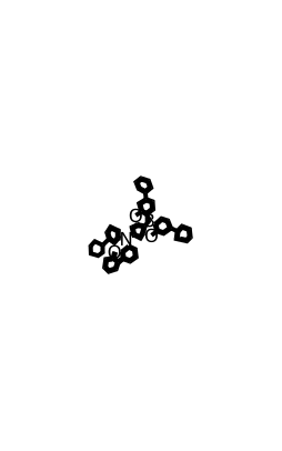 c1ccc(-c2ccc3c(c2)Oc2cc(N(c4cccc(C5CCCCC5)c4)c4cccc5c4oc4ccccc45)cc4c2B3c2ccc(-c3ccccc3)cc2O4)cc1